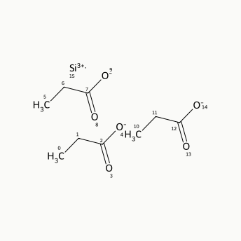 CCC(=O)[O-].CCC(=O)[O-].CCC(=O)[O-].[Si+3]